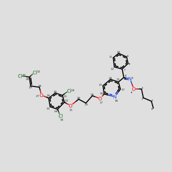 CCCCON=C(c1ccccc1)c1ccc(OCCCOc2c(Cl)cc(OCC=C(Cl)Cl)cc2Cl)nc1